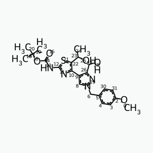 COc1ccc(Cn2cc(-c3nc(NC(=O)OC(C)(C)C)sc3C(C)O)c(CO)n2)cc1